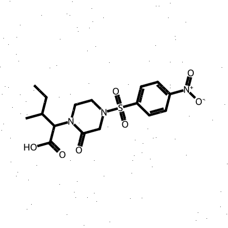 CCC(C)C(C(=O)O)N1CCN(S(=O)(=O)c2ccc([N+](=O)[O-])cc2)CC1=O